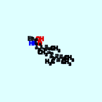 CCC(O)NC(=O)CC(C)CCC=C(C)CCC=C(C)CCC=C(C)C